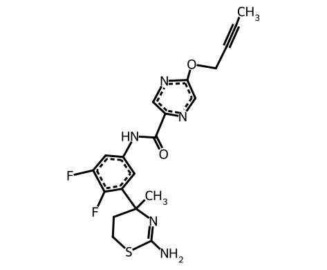 CC#CCOc1cnc(C(=O)Nc2cc(F)c(F)c(C3(C)CCSC(N)=N3)c2)cn1